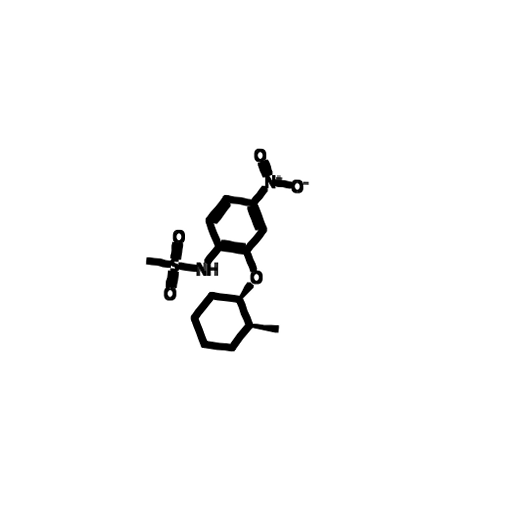 C[C@H]1CCCC[C@H]1Oc1cc([N+](=O)[O-])ccc1NS(C)(=O)=O